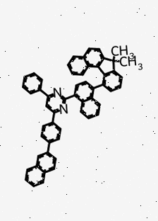 CC1(C)c2cccc(-c3ccc(-c4nc(-c5ccccc5)cc(-c5ccc(-c6ccc7ccccc7c6)cc5)n4)c4ccccc34)c2-c2c1ccc1ccccc21